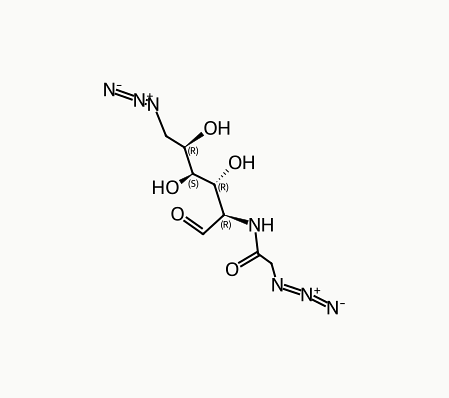 [N-]=[N+]=NCC(=O)N[C@@H](C=O)[C@@H](O)[C@@H](O)[C@H](O)CN=[N+]=[N-]